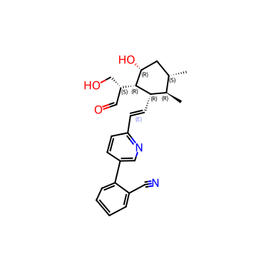 C[C@H]1[C@H](/C=C/c2ccc(-c3ccccc3C#N)cn2)[C@H]([C@H](C=O)CO)[C@H](O)C[C@@H]1C